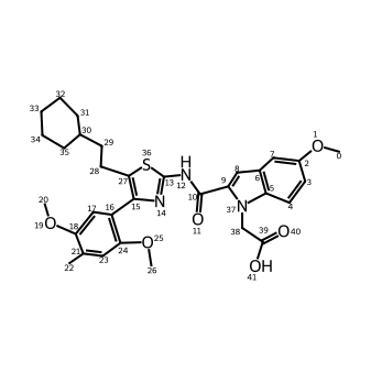 COc1ccc2c(c1)cc(C(=O)Nc1nc(-c3cc(OC)c(C)cc3OC)c(CCC3CCCCC3)s1)n2CC(=O)O